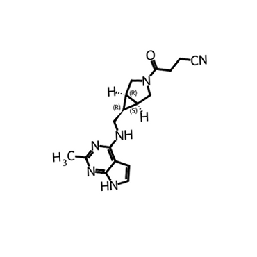 Cc1nc(NC[C@H]2[C@H]3CN(C(=O)CCC#N)C[C@@H]23)c2cc[nH]c2n1